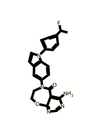 CC(F)c1ccc(-n2ccc3cc(N4CCOc5ncnc(N)c5C4=O)ccc32)cc1